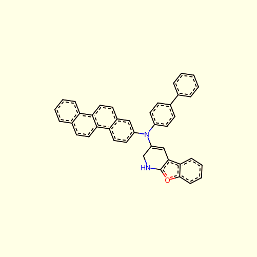 C1=C(N(c2ccc(-c3ccccc3)cc2)c2ccc3c(ccc4c5ccccc5ccc34)c2)CNc2oc3ccccc3c21